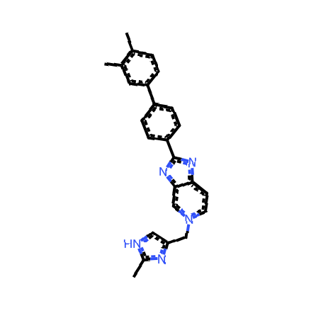 Cc1nc(Cn2ccc3nc(-c4ccc(-c5ccc(C)c(C)c5)cc4)nc-3c2)c[nH]1